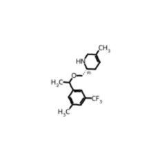 CC1=CC[C@H](COC(C)c2cc(C)cc(C(F)(F)F)c2)NC1